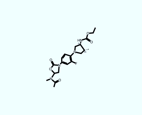 CCOC(=O)N[C@@H]1CN(c2ccc(N3CC(N(C)C(C)=O)OC3=O)cc2F)C[C@H]1C